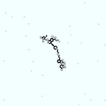 CC[C@@H]1CC(=O)N[C@@H]1COc1ncc(C#CC2CCN(CCCOCCCc3cccc4c3n(C)c(=O)n4C3CCC(=O)NC3=O)CC2)c2cc(C(N)=O)c(OC)cc12